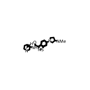 CNC1CCN(c2ccc3c(C(=O)N[C@@H]4CN5CCC4CC5)nsc3c2)C1